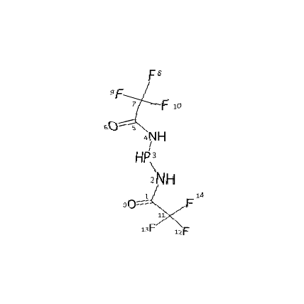 O=C(NPNC(=O)C(F)(F)F)C(F)(F)F